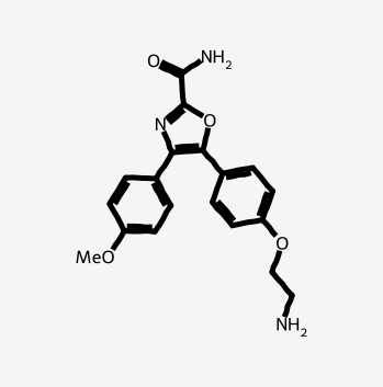 COc1ccc(-c2nc(C(N)=O)oc2-c2ccc(OCCN)cc2)cc1